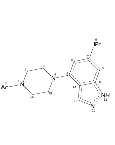 CC(=O)N1CCN(c2cc(C(C)C)cc3[nH]ncc23)CC1